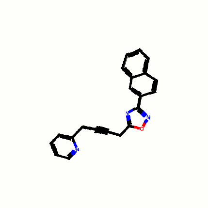 C(#CCc1nc(-c2ccc3ccccc3c2)no1)Cc1ccccn1